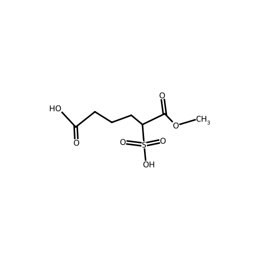 COC(=O)C(CCCC(=O)O)S(=O)(=O)O